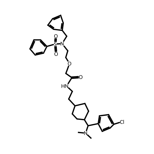 CN(C)C(c1ccc(Cl)cc1)C1CCC(CCNC(=O)COCCN(Cc2ccccc2)S(=O)(=O)c2ccccc2)CC1